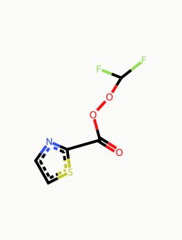 O=C(OOC(F)F)c1nccs1